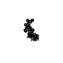 CC[C@H](C)[C@@H]([C@@H](CC(=O)N1CCC[C@H]1[C@H](OC)[C@@H](C)C(=O)N[C@@H](Cc1ccccc1)C(=O)OCc1ccc(OC)cc1OC)OC)N(C)C(=O)[C@@H](NC(=O)[C@@H](NC)C(C)C)C(C)C